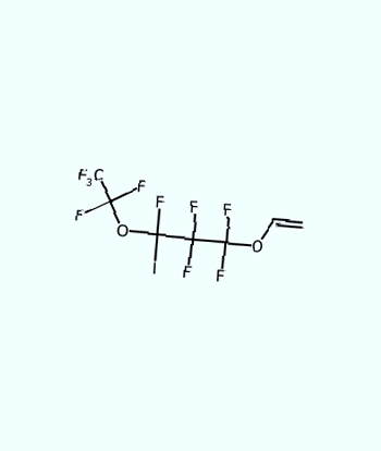 C=COC(F)(F)C(F)(F)C(F)(I)OC(F)(F)C(F)(F)F